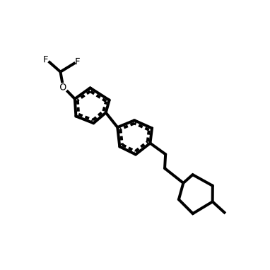 CC1CCC(CCc2ccc(-c3ccc(OC(F)F)cc3)cc2)CC1